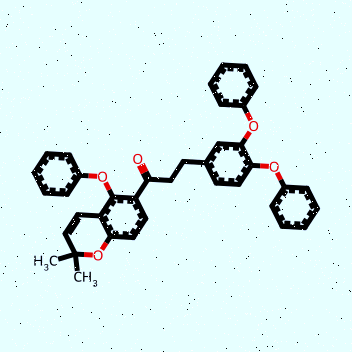 CC1(C)C=Cc2c(ccc(C(=O)CCc3ccc(Oc4ccccc4)c(Oc4ccccc4)c3)c2Oc2ccccc2)O1